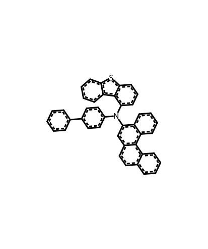 c1ccc(-c2ccc(N(c3cc4ccc5ccccc5c4c4ccccc34)c3cccc4sc5ccccc5c34)cc2)cc1